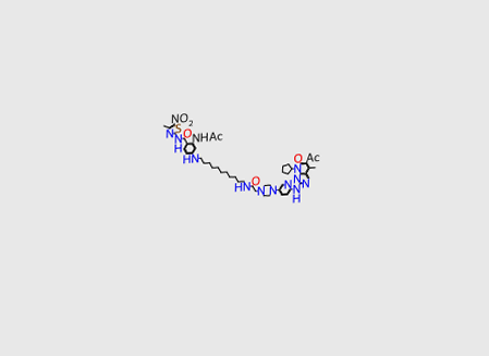 CC(=O)Nc1cc(NCCCCCCCCCCCNC(=O)CN2CCN(c3ccc(Nc4ncc5c(C)c(C(C)=O)c(=O)n(C6CCCC6)c5n4)nc3)CC2)ccc1C(=O)Nc1nc(C)c([N+](=O)[O-])s1